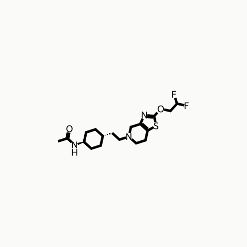 CC(=O)N[C@H]1CC[C@H](CCN2CCc3sc(OCC(F)F)nc3C2)CC1